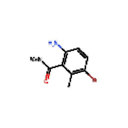 CNC(=O)c1c(N)ccc(Br)c1C